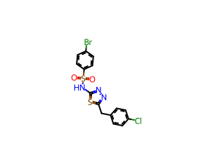 O=S(=O)(Nc1nnc(Cc2ccc(Cl)cc2)s1)c1ccc(Br)cc1